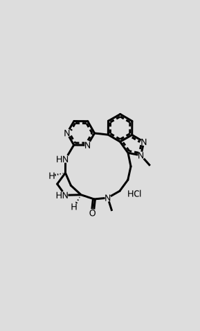 CN1CCCc2c3c(cccc3nn2C)-c2ccnc(n2)N[C@@H]2CN[C@@H](C2)C1=O.Cl